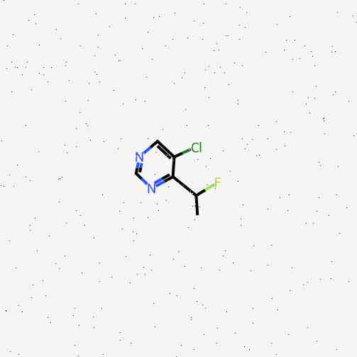 CC(F)c1ncncc1Cl